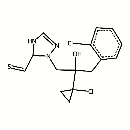 OC(Cc1ccccc1Cl)(CN1N=CNC1C=S)C1(Cl)CC1